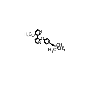 COc1ccncc1-c1cccnc1Oc1ccc(C#CS(C)(C)C)cc1